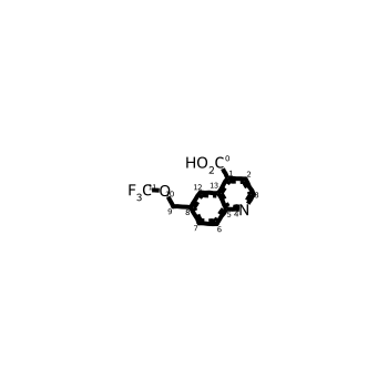 O=C(O)c1ccnc2ccc(COC(F)(F)F)cc12